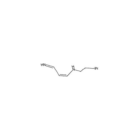 CC(C)CCN/C=C\C=N